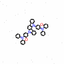 c1ccc(N2c3ccccc3Oc3cc(-n4c5ccccc5c5c4ccc4c6ccccc6n(-c6ccc7c(c6)Oc6ccccc6N7c6ccccc6)c45)ccc32)cc1